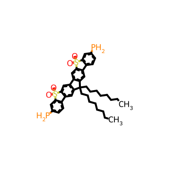 CCCCCCCCC1(CCCCCCCC)c2cc3c(cc2-c2cc4c(cc21)-c1ccc(P)cc1S4(=O)=O)S(=O)(=O)c1cc(P)ccc1-3